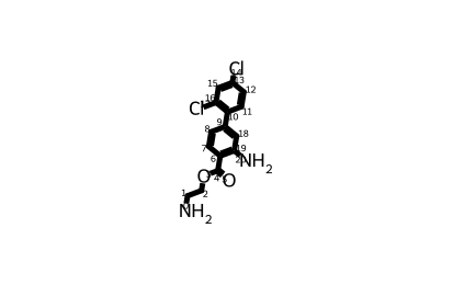 NCCOC(=O)c1ccc(-c2ccc(Cl)cc2Cl)cc1N